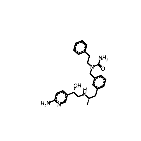 C[C@H](Cc1cccc(CN(CCc2ccccc2)C(N)=O)c1)NC[C@@H](O)c1ccc(N)nc1